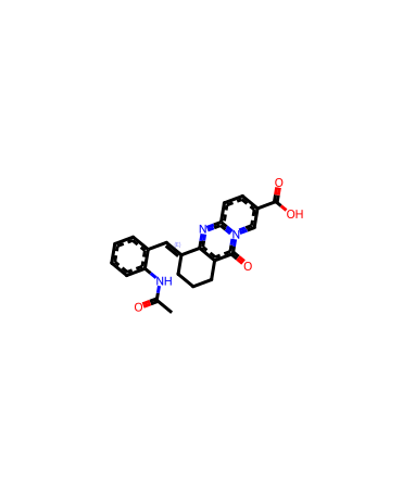 CC(=O)Nc1ccccc1/C=C1\CCCc2c1nc1ccc(C(=O)O)cn1c2=O